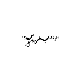 CS(=O)(=S)OCCC(=O)O